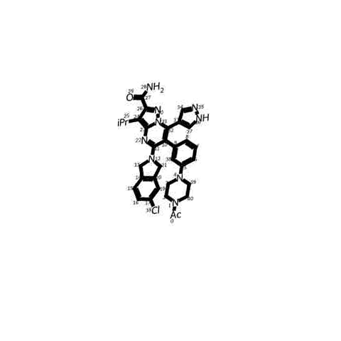 CC(=O)N1CCN(c2cccc(-c3c(N4Cc5ccc(Cl)cc5C4)nc4c(C(C)C)c(C(N)=O)nn4c3-c3cn[nH]c3)c2)CC1